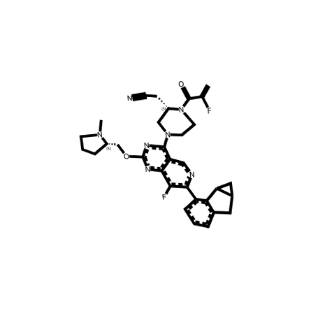 C=C(F)C(=O)N1CCN(c2nc(OC[C@@H]3CCCN3C)nc3c(F)c(-c4cccc5c4C4CC4C5)ncc23)C[C@@H]1CC#N